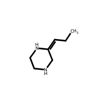 CCC=C1CNCCN1